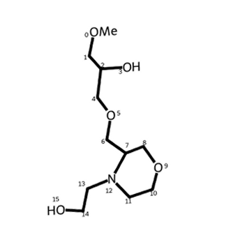 COCC(O)COCC1COCCN1CCO